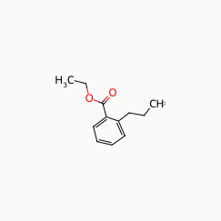 [CH]CCc1ccccc1C(=O)OCC